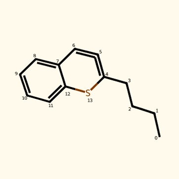 CCCCC1=C=Cc2ccccc2S1